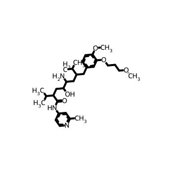 COCCCOc1cc(CC(CC(N)C(O)CC(C(=O)Nc2ccnc(C)c2)C(C)C)C(C)C)ccc1OC